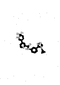 CCC1(CC)C=CC(c2ccnc(C(=O)Nc3cccc(-c4nncn4C4CC4)c3)c2)=CN1